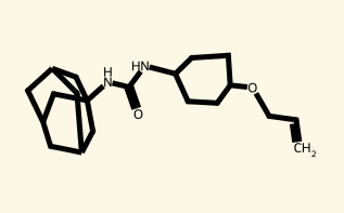 C=CCOC1CCC(NC(=O)NC23CC4CC(CC(C4)C2)C3)CC1